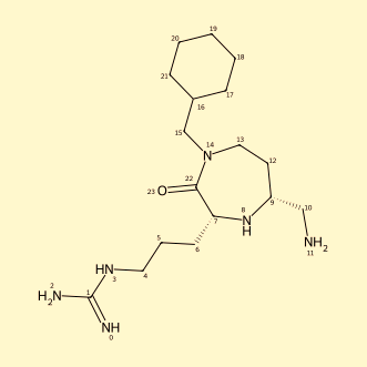 N=C(N)NCCC[C@H]1N[C@@H](CN)CCN(CC2CCCCC2)C1=O